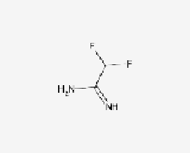 N=C(N)C(F)F